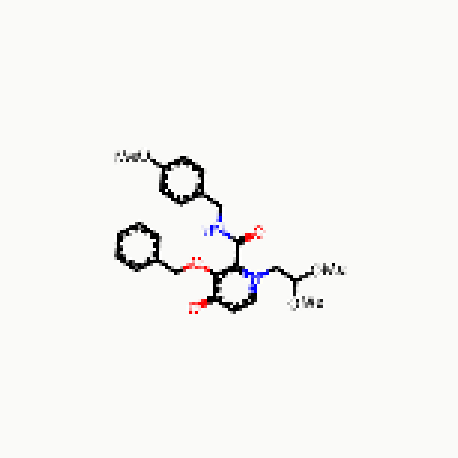 COc1ccc(CNC(=O)c2c(OCc3ccccc3)c(=O)ccn2CC(OC)OC)cc1